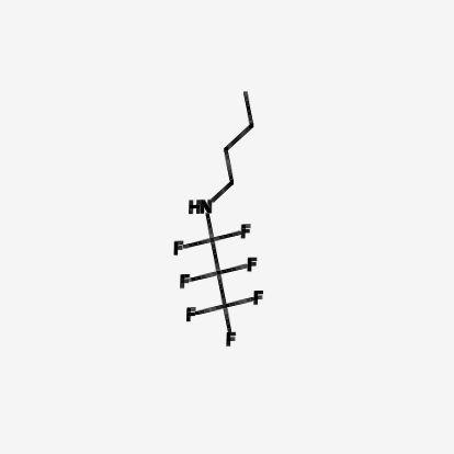 CCCCNC(F)(F)C(F)(F)C(F)(F)F